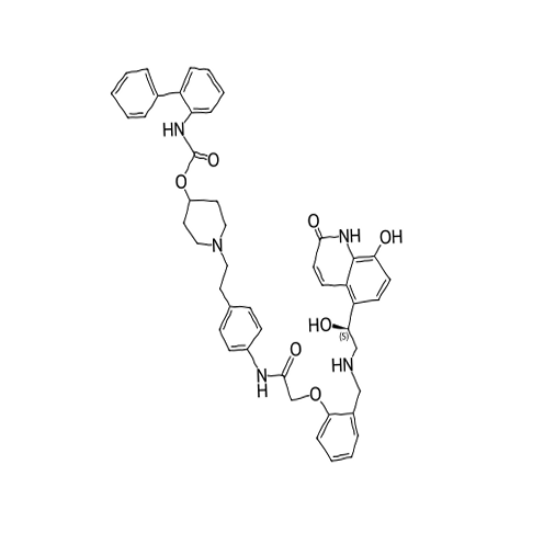 O=C(COc1ccccc1CNC[C@@H](O)c1ccc(O)c2[nH]c(=O)ccc12)Nc1ccc(CCN2CCC(OC(=O)Nc3ccccc3-c3ccccc3)CC2)cc1